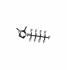 Cc1n(C)cc[n+]1C(F)(F)C(F)(F)C(F)(F)C(F)(F)F